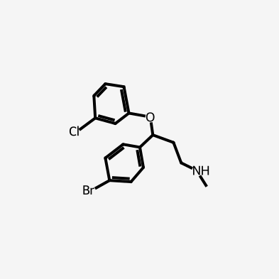 CNCCC(Oc1cccc(Cl)c1)c1ccc(Br)cc1